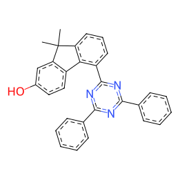 CC1(C)c2cc(O)ccc2-c2c(-c3nc(-c4ccccc4)nc(-c4ccccc4)n3)cccc21